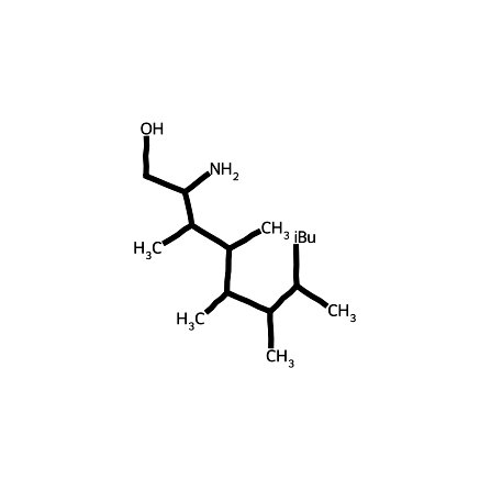 CCC(C)C(C)C(C)C(C)C(C)C(C)C(N)CO